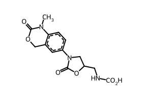 CN1C(=O)OCc2cc(N3CC(CNC(=O)O)OC3=O)ccc21